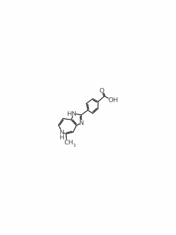 CC1=Cc2nc(-c3ccc(C(=O)O)cc3)[nH]c2C=CN1